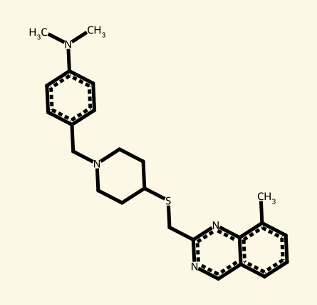 Cc1cccc2cnc(CSC3CCN(Cc4ccc(N(C)C)cc4)CC3)nc12